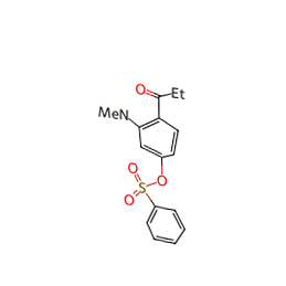 CCC(=O)c1ccc(OS(=O)(=O)c2ccccc2)cc1NC